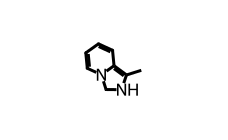 CC1=C2C=CC=CN2CN1